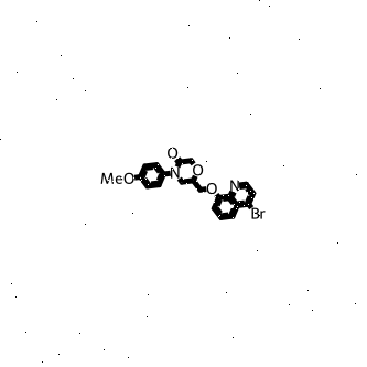 COc1ccc(N2CC(COc3cccc4c(Br)ccnc34)OCC2=O)cc1